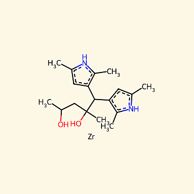 Cc1cc(C(c2cc(C)[nH]c2C)C(C)(O)CC(C)O)c(C)[nH]1.[Zr]